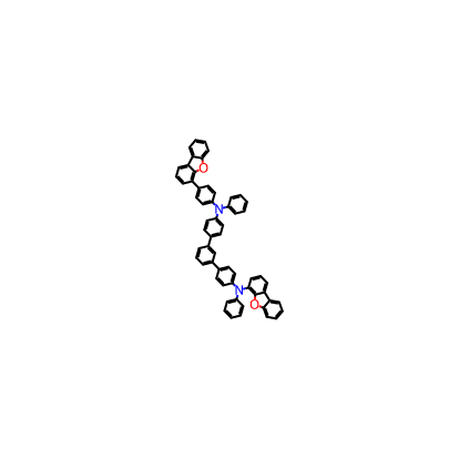 c1ccc(N(c2ccc(-c3cccc(-c4ccc(N(c5ccccc5)c5cccc6c5oc5ccccc56)cc4)c3)cc2)c2ccc(-c3cccc4c3oc3ccccc34)cc2)cc1